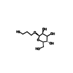 OCC1O[C@@H](OCCCS)[C@@H](O)C(O)[C@@H]1O